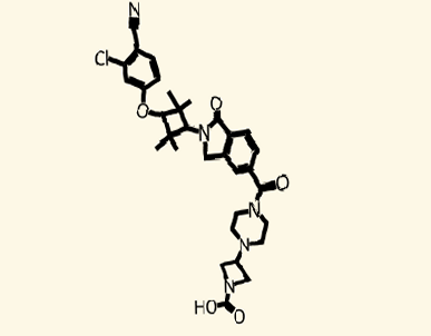 CC1(C)C(Oc2ccc(C#N)c(Cl)c2)C(C)(C)C1N1Cc2cc(C(=O)N3CCN(C4CN(C(=O)O)C4)CC3)ccc2C1=O